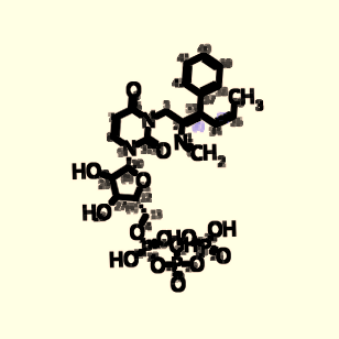 C=N/C(Cn1c(=O)ccn([C@@H]2O[C@H](COP(=O)(O)OP(=O)(O)OP(=O)(O)O)C(O)C2O)c1=O)=C(\C=C/C)c1ccccc1